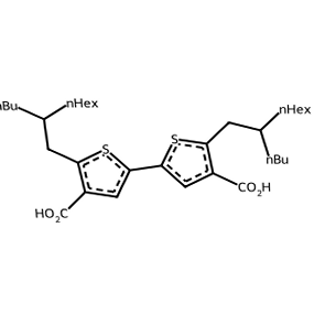 CCCCCCC(CCCC)Cc1sc(-c2cc(C(=O)O)c(CC(CCCC)CCCCCC)s2)cc1C(=O)O